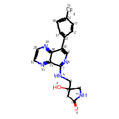 O=C1CC(O)(CNc2ncc(-c3ccc(C(F)(F)F)cc3)c3nccnc23)CN1